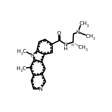 Cc1c2ccncc2cc2c3cc(C(=O)N[C@@H](C)CN(C)C)ccc3n(C)c12